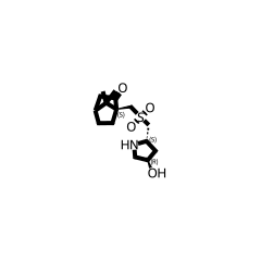 CC1(C)C2CC[C@@]1(CS(=O)(=O)C[C@@H]1C[C@@H](O)CN1)C(=O)C2